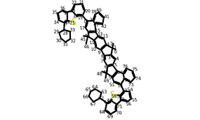 CC1(C)c2cc3c(cc2-c2cc4c(cc21)-c1c(cc(-c2cccc5c2sc2c(C6CCCCC6)cccc25)c2ccccc12)C4(C)C)C(C)(C)c1cc(-c2cccc4c2sc2c(C5CCCCC5)cccc24)c2ccccc2c1-3